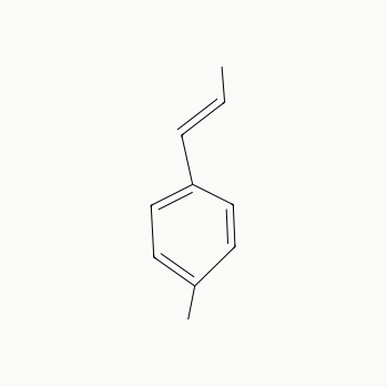 C/C=C/c1ccc(C)cc1